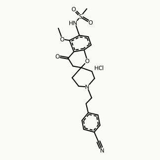 COc1c(NS(C)(=O)=O)ccc2c1C(=O)CC1(CCN(CCc3ccc(C#N)cc3)CC1)O2.Cl